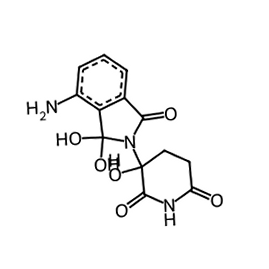 Nc1cccc2c1C(O)(O)N(C1(O)CCC(=O)NC1=O)C2=O